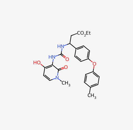 CCOC(=O)CC(NC(=O)Nc1c(O)ccn(C)c1=O)c1ccc(Oc2ccc(C)cc2)cc1